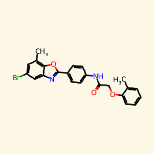 Cc1ccccc1OCC(=O)Nc1ccc(-c2nc3cc(Br)cc(C)c3o2)cc1